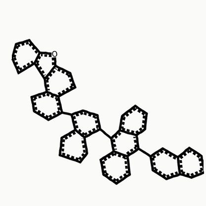 c1ccc2cc(-c3c4ccccc4c(-c4ccc(-c5cccc6c5ccc5oc7ccccc7c56)c5ccccc45)c4ccccc34)ccc2c1